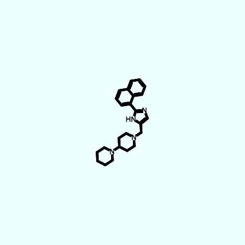 c1ccc2c(-c3ncc(CN4CCC(N5CCCCC5)CC4)[nH]3)cccc2c1